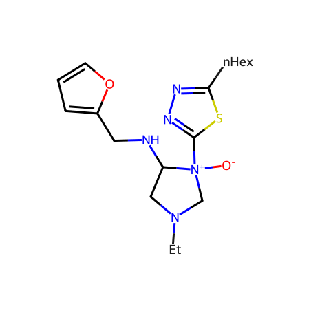 CCCCCCc1nnc([N+]2([O-])CN(CC)CC2NCc2ccco2)s1